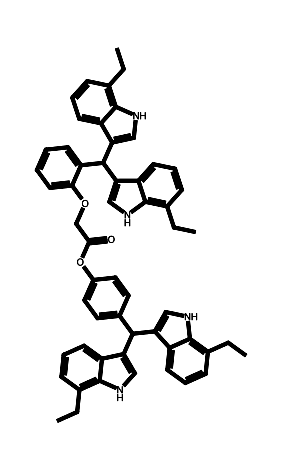 CCc1cccc2c(C(c3ccc(OC(=O)COc4ccccc4C(c4c[nH]c5c(CC)cccc45)c4c[nH]c5c(CC)cccc45)cc3)c3c[nH]c4c(CC)cccc34)c[nH]c12